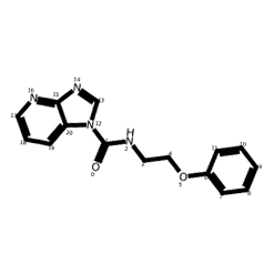 O=C(NCCOc1ccccc1)n1cnc2ncccc21